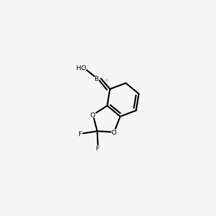 O/B=C1\CC=CC2=C1OC(F)(F)O2